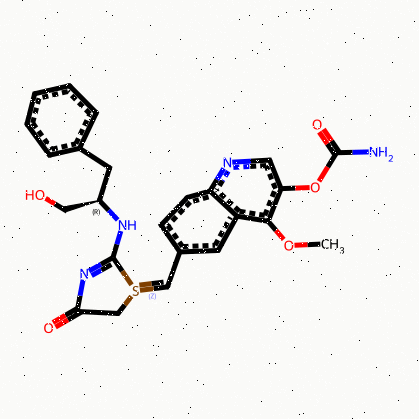 COc1c(OC(N)=O)cnc2ccc(/C=S3/CC(=O)N=C3N[C@@H](CO)Cc3ccccc3)cc12